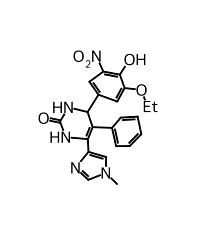 CCOc1cc(C2NC(=O)NC(c3cn(C)cn3)=C2c2ccccc2)cc([N+](=O)[O-])c1O